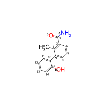 Cc1c(C(N)=O)cccc1-c1ccccc1O